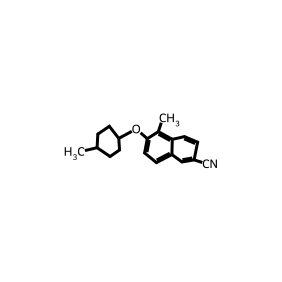 Cc1c(OC2CCC(C)CC2)ccc2cc(C#N)ccc12